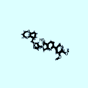 COc1cc(-c2ccc3c(n2)CN(c2cnn(Cc4cccc5c4OCCCO5)c2)C3O)cnc1OC